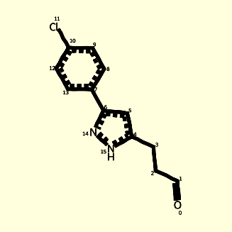 O=CCCc1cc(-c2ccc(Cl)cc2)n[nH]1